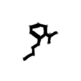 CCCCc1ccccc1C(C)C